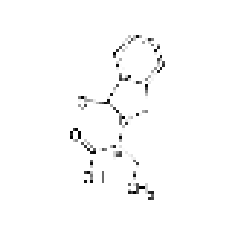 CC[C@H](C(=O)O)N1Cc2ccccc2C1=O